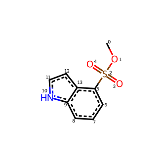 COS(=O)(=O)c1cccc2[nH]ccc12